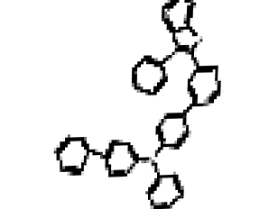 c1ccc(-c2ccc(N(c3ccccc3)c3ccc(-c4cccc(-c5oc6ccccc6c5-c5ccccc5)c4)cc3)cc2)cc1